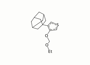 CCOCOc1cscc1C12CC3CC(CC(C3)C1)C2